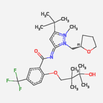 Cn1c(C(C)(C)C)cc(=NC(=O)c2cc(C(F)(F)F)ccc2OCC(C)(C)C(C)(C)O)n1C[C@H]1CCCO1